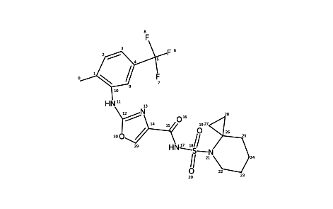 Cc1ccc(C(F)(F)F)cc1Nc1nc(C(=O)NS(=O)(=O)N2CCCCC23CC3)co1